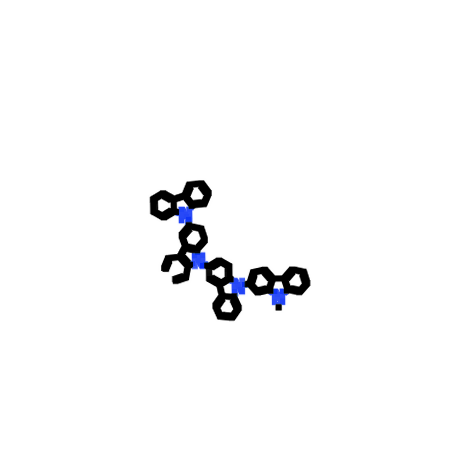 C=Cc1c2c(n(-c3ccc4c(c3)c3ccccc3n4-c3ccc4c5ccccc5n(C)c4c3)c1C=C)CCC(n1c3ccccc3c3ccccc31)=C2